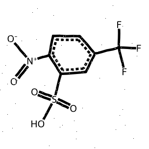 O=[N+]([O-])c1ccc(C(F)(F)F)cc1S(=O)(=O)O